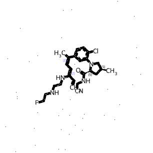 C=C/C(=C/C=C(/C)c1ccc(Cl)c(N2C[C@@H](C)C[C@H]2C(=O)NCC#N)c1)NCCNCCF